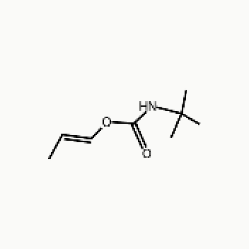 CC=COC(=O)NC(C)(C)C